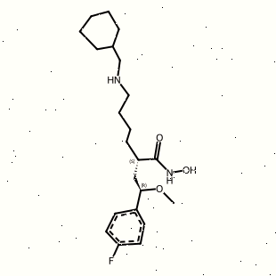 CO[C@H](C[C@H](CCCCNCC1CCCCC1)C(=O)NO)c1ccc(F)cc1